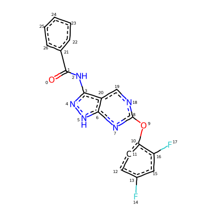 O=C(Nc1n[nH]c2nc(Oc3ccc(F)cc3F)ncc12)c1ccccc1